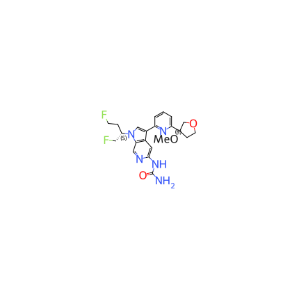 CO[C@@]1(c2cccc(-c3cn([C@H](CF)CCF)c4cnc(NC(N)=O)cc34)n2)CCOC1